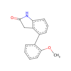 COc1ccccc1-c1cccc2c1CC(=O)N2